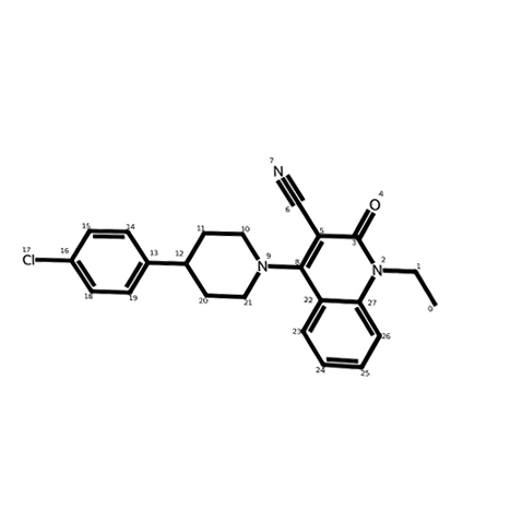 CCn1c(=O)c(C#N)c(N2CCC(c3ccc(Cl)cc3)CC2)c2ccccc21